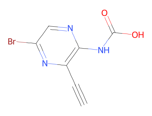 C#Cc1nc(Br)cnc1NC(=O)O